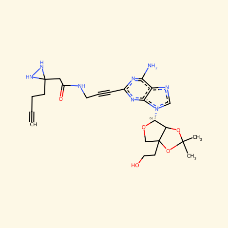 C#CCCC1(CC(=O)NCC#Cc2nc(N)c3ncn([C@H]4OCC5(CCO)OC(C)(C)OC45)c3n2)NN1